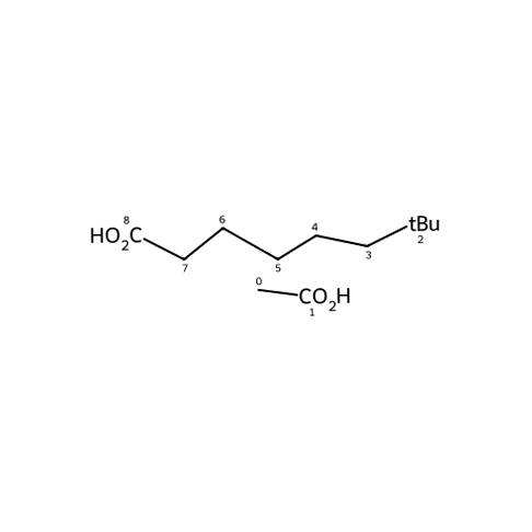 CC(=O)O.CC(C)(C)CCCCCC(=O)O